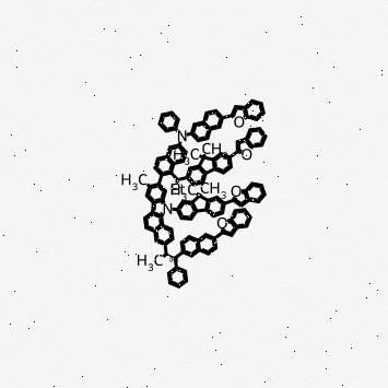 CCC(c1ccc2c(c1)C(C)(C)c1cc(-c3cc4ccccc4o3)ccc1-2)c1c(-c2cc3c(cc2C)c2ccc4cc(C(C)[C@H](c5ccccc5)c5ccc6cc(-c7cc8ccccc8o7)ccc6c5)ccc4c2n3-c2ccc3c(c2)C(C)(C)c2cc(-c4cc5ccccc5o4)ccc2-3)ccc2cc(N(c3ccccc3)c3ccc4cc(-c5cc6ccccc6o5)ccc4c3)ccc12